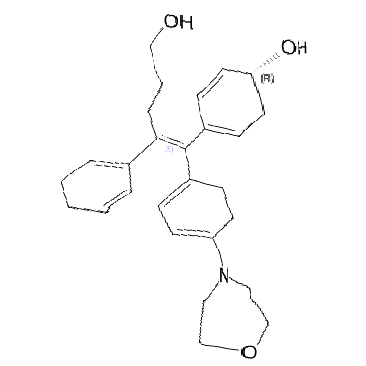 OCCC/C(C1=CCCC=C1)=C(\C1=CC[C@@H](O)C=C1)C1=CC=C(N2CCOCC2)CC1